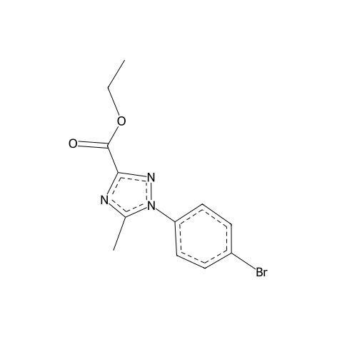 CCOC(=O)c1nc(C)n(-c2ccc(Br)cc2)n1